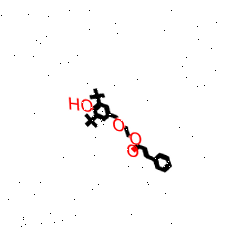 CC(C)(C)c1cc(COCCOC(=O)C=Cc2ccccc2)cc(C(C)(C)C)c1O